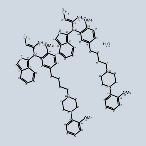 CN=C(N)N(c1cc(CCCCN2CCN(c3ccccc3OC)CC2)ccc1OC)c1occ2ccccc12.CN=C(N)N(c1cc(CCCCN2CCN(c3ccccc3OC)CC2)ccc1OC)c1occ2ccccc12.O